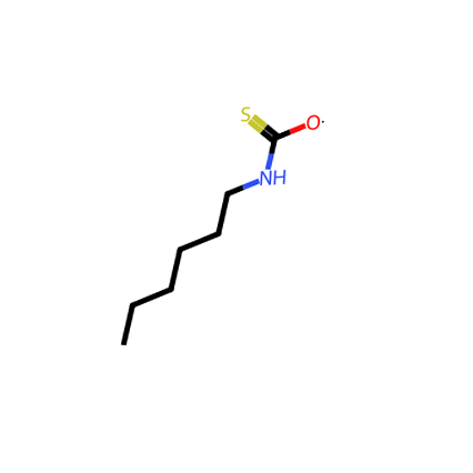 CCCCCCNC([O])=S